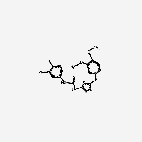 COc1ccc(Cc2nnc(NC(=O)Nc3ccc(Cl)c(Cl)c3)s2)cc1OC